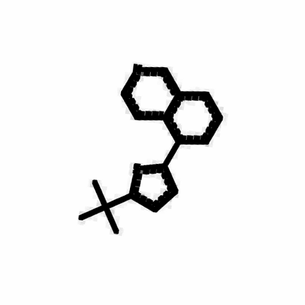 CC(C)(C)c1ccc(-c2cccc3cnccc23)s1